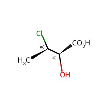 C[C@@H](Cl)[C@H](O)C(=O)O